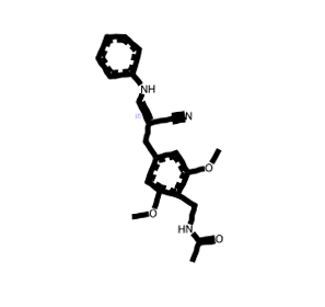 COc1cc(C/C(C#N)=C/Nc2ccccc2)cc(OC)c1CNC(C)=O